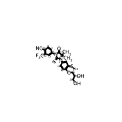 CC1(C)C(=O)N(c2ccc(C#N)c(C(F)(F)F)c2)C(=S)N1c1ccc2c(c1)SC[C@H]([C@H](O)CO)O2